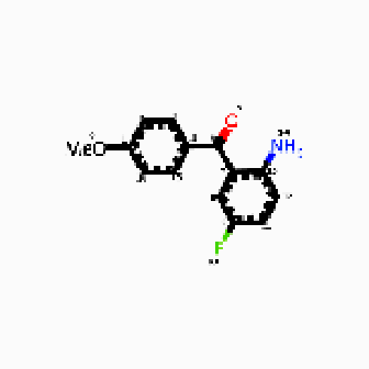 COc1ccc(C(=O)c2cc(F)ccc2N)cc1